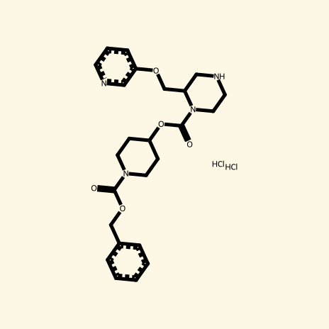 Cl.Cl.O=C(OCc1ccccc1)N1CCC(OC(=O)N2CCNCC2COc2cccnc2)CC1